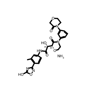 Cc1cc(NC(=O)[C@H](O)[C@H]2OCCN(c3cccc(N4CCOCC4=O)c3)C2=O)ccc1-c1noc(O)n1.N